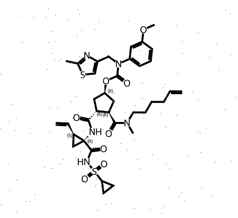 C=CCCCCN(C)C(=O)[C@@H]1C[C@H](OC(=O)N(Cc2csc(C)n2)c2cccc(OC)c2)C[C@H]1C(=O)N[C@]1(C(=O)NS(=O)(=O)C2CC2)C[C@H]1C=C